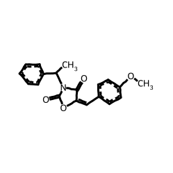 COc1ccc(C=C2OC(=O)N(C(C)c3ccccc3)C2=O)cc1